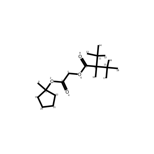 CC1(OC(=O)COC(=O)C(C)(C(C)(C)C)C(C)(C)C)CCCC1